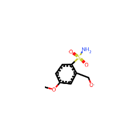 COc1ccc(S(N)(=O)=O)c(C[O])c1